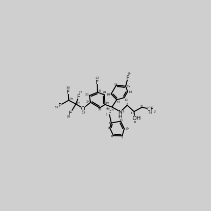 OC(CN[C@](Cc1ccccc1)(c1ccc(F)cc1)c1cc(F)cc(OC(F)(F)C(F)F)c1)CC(F)(F)F